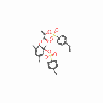 C=Cc1ccc(S(=O)(=O)OC(=C)C(=O)OC2C(C)=CC(C)=CC2(C)OS(=O)(=O)c2ccc(C)cc2)cc1